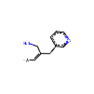 C/C=C(\CN)Cc1cccnc1